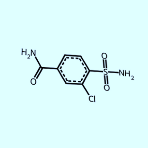 NC(=O)c1ccc(S(N)(=O)=O)c(Cl)c1